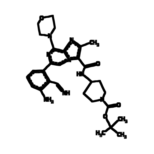 Cc1nc2c(N3CCOCC3)nc(-c3cccc(N)c3C=N)cn2c1C(=O)NC1CCN(C(=O)OC(C)(C)C)CC1